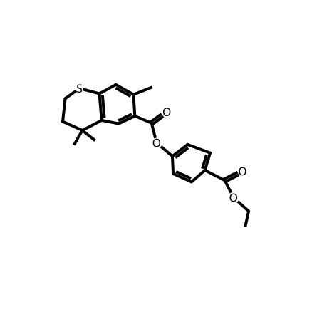 CCOC(=O)c1ccc(OC(=O)c2cc3c(cc2C)SCCC3(C)C)cc1